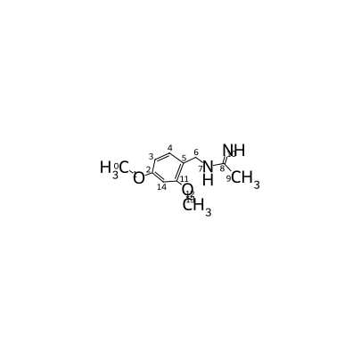 COc1ccc(CNC(C)=N)c(OC)c1